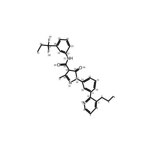 CCCc1cccnc1-c1cccc(N2N=C(C)C(C(=O)Nc3cccc(C(F)(F)CC)c3)C2=O)c1